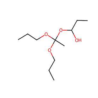 CCCOC(C)(OCCC)OC(O)CC